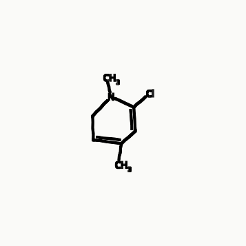 CC1=CCN(C)C(Cl)=C1